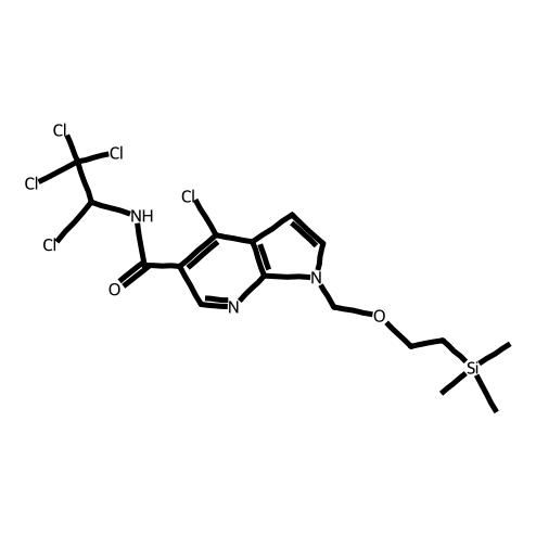 C[Si](C)(C)CCOCn1ccc2c(Cl)c(C(=O)NC(Cl)C(Cl)(Cl)Cl)cnc21